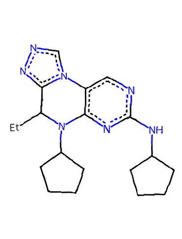 CCC1c2nncn2-c2cnc(NC3CCCC3)nc2N1C1CCCC1